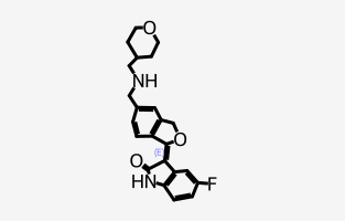 O=C1Nc2ccc(F)cc2/C1=C1\OCc2cc(CNCC3CCOCC3)ccc21